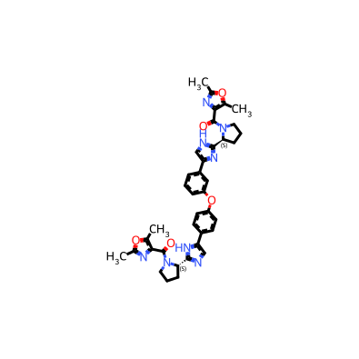 Cc1nc(C(=O)N2CCC[C@H]2c2nc(-c3cccc(Oc4ccc(-c5cnc([C@@H]6CCCN6C(=O)c6nc(C)oc6C)[nH]5)cc4)c3)c[nH]2)c(C)o1